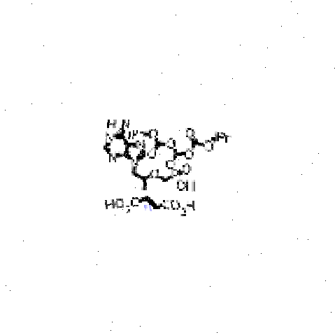 CC(C)OC(=O)OC(OC(=O)OC(C)C)OP(=O)(O)COC(C)Cn1cnc2c(N)ncnc21.O=C(O)/C=C/C(=O)O